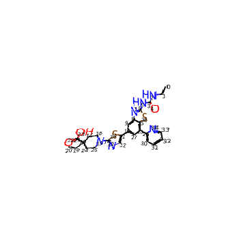 CCNC(=O)Nc1nc2cc(-c3cnc(N4CCC(CC)(C(=O)O)CC4)s3)cc(-c3ccccn3)c2s1